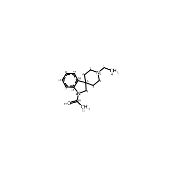 CCN1CCC2(CC1)CN(C(C)=O)c1ccccc12